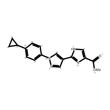 COC(=O)c1c[nH]c(-c2cnn(-c3ccc(C4CC4)cc3)c2)n1